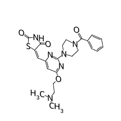 CN(C)CCOc1cc(C=C2SC(=O)NC2=O)nc(N2CCN(C(=O)c3ccccc3)CC2)n1